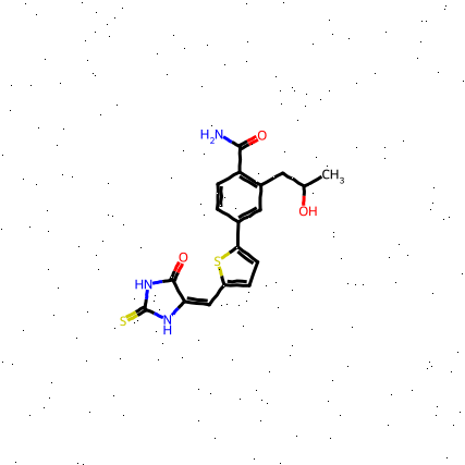 CC(O)Cc1cc(-c2ccc(C=C3NC(=S)NC3=O)s2)ccc1C(N)=O